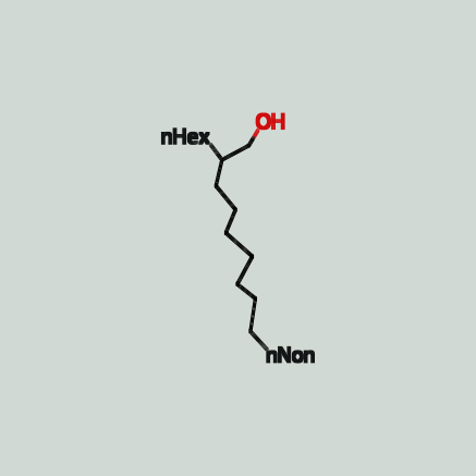 CCCCCCCCCCCCCCCCC(CO)CCCCCC